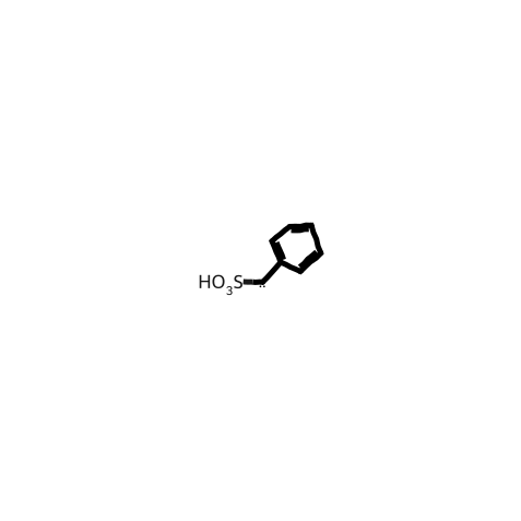 O=S(=O)(O)[C]c1ccccc1